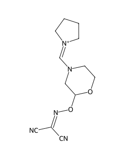 N#CC(C#N)=NOC1CN(C=[N+]2CCCC2)CCO1